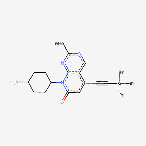 CSc1ncc2c(C#C[Si](C(C)C)(C(C)C)C(C)C)cc(=O)n(C3CCC(N)CC3)c2n1